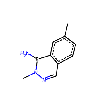 Cc1ccc2c(c1)B(N)N(C)N=C2